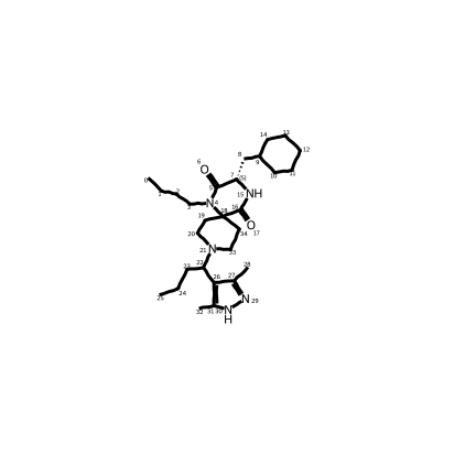 CCCCN1C(=O)[C@H](CC2CCCCC2)NC(=O)C12CCN(C(CCC)c1c(C)n[nH]c1C)CC2